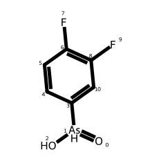 O=[AsH](O)c1ccc(F)c(F)c1